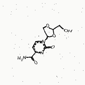 NC(=O)c1ccn(C2COC(CO)O2)c(=O)n1